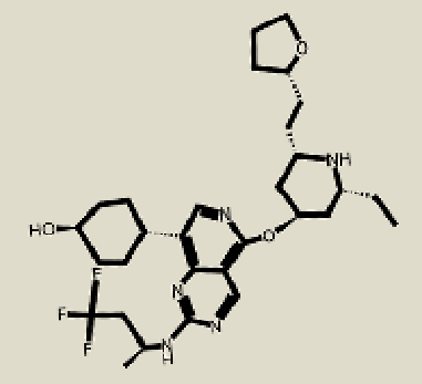 CC[C@@H]1C[C@@H](Oc2ncc([C@H]3CC[C@H](O)CC3)c3nc(N[C@@H](C)CC(F)(F)F)ncc23)C[C@H](CC[C@@H]2CCCO2)N1